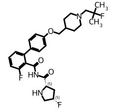 CC(C)(F)CN1CCC(COc2ccc(-c3cccc(F)c3C(=O)NC(=O)[C@@H]3C[C@H](F)CN3)cc2)CC1